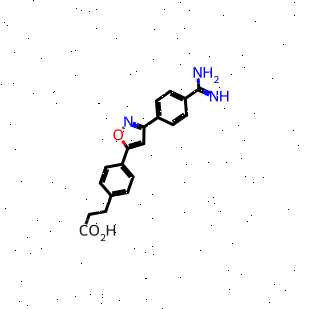 N=C(N)c1ccc(-c2cc(-c3ccc(CCC(=O)O)cc3)on2)cc1